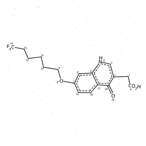 O=C(O)Cc1c[nH]c2cc(OCCCCCC(F)(F)F)ccc2c1=O